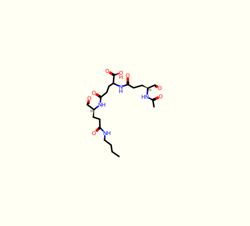 CCCCNC(=O)CC[C@@H](C=O)NC(=O)CCC(NC(=O)CC[C@@H](C=O)NC(C)=O)C(=O)O